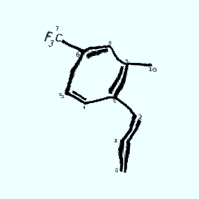 C=C=Cc1ccc(C(F)(F)F)cc1C